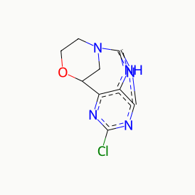 Clc1nc2c3[nH]c(nc3n1)N1CCOC2C1